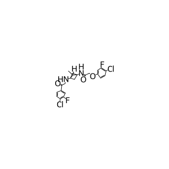 C[C@H]1C2(NCC(=O)c3ccc(Cl)c(F)c3)CC1(NC(=O)COc1ccc(Cl)c(F)c1)C2